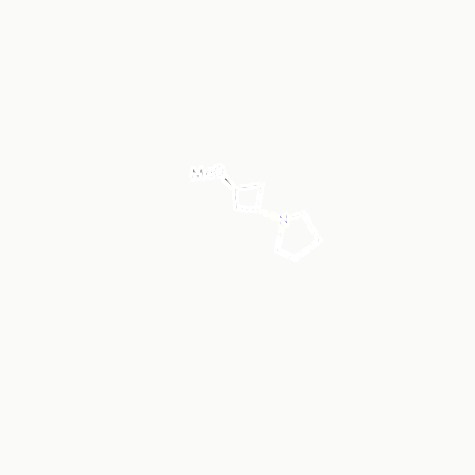 CO[C@H]1C[C@H](N2CCCC2)C1